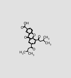 CC(C)CC(=O)c1cc(C(=O)CC(C)C)c2oc3ccc(C(=O)O)cc3c(=O)c2c1